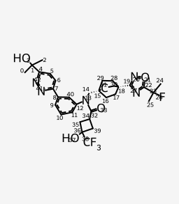 CC(C)(O)c1ccc(-c2cccc(N(C[C@]34CC[C@](c5noc(C(C)(C)F)n5)(CC3)CC4)C(=O)C3CC(O)(C(F)(F)F)C3)c2)nn1